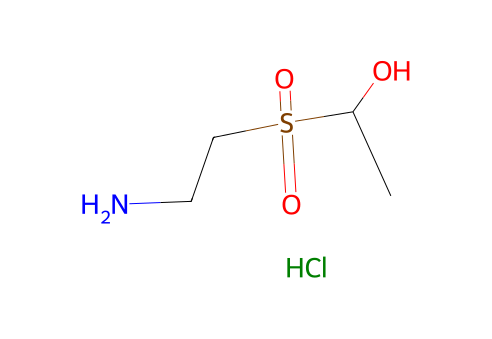 CC(O)S(=O)(=O)CCN.Cl